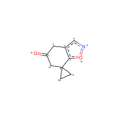 O=C1Cc2cnoc2C2(CC2)C1